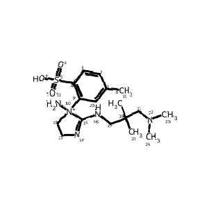 Cc1ccc(S(=O)(=O)O)c([N+]2(N)CCN=C2NCC(C)(C)CN(C)C)c1